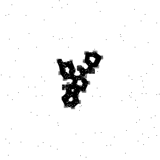 Cc1ccc(C2c3[nH]c4ccccc4c3CCN2C(=O)NC2CCCCC2)cc1